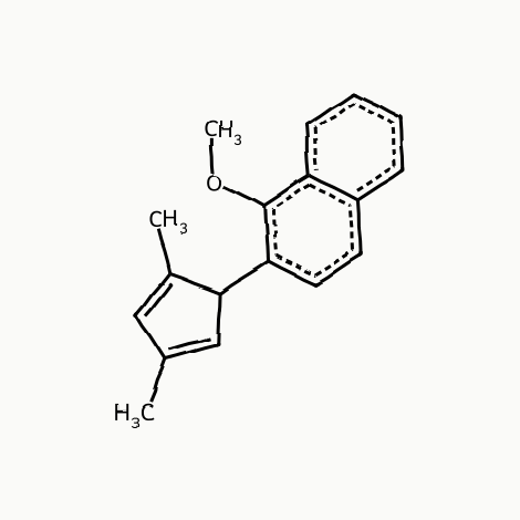 COc1c(C2C=C(C)C=C2C)ccc2ccccc12